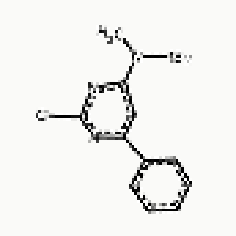 CN(c1cc(-c2ccccc2)nc(Cl)n1)C(C)(C)C